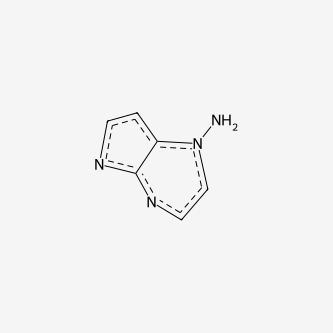 Nn1ccnc2nccc1-2